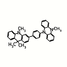 CN1c2ccccc2N(c2ccc(-c3ccc4c(c3)N(C)c3ccccc3C4(C)C)cc2)c2ccccc21